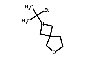 CCC(C)(C)N1CC2(CCOC2)C1